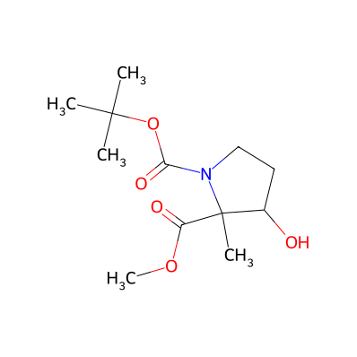 COC(=O)C1(C)C(O)CCN1C(=O)OC(C)(C)C